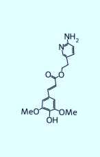 COc1cc(/C=C/C(=O)OCCc2ccc(N)nc2)cc(OC)c1O